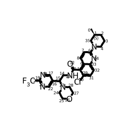 C[C@H]1CCCN(c2ccc3c(C(=O)NCC(c4cnc(C(F)(F)F)nc4)N4CCOCC4)c(Cl)ccc3n2)C1